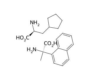 C[C@](N)(C(=O)O)c1cccc2ccccc12.N[C@@H](CC1CCCC1)C(=O)O